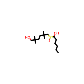 CCCCCC(O)[S+]([O-])CC(C)(C)CCC(C)(C)CO